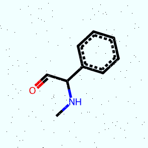 CNC(C=O)c1ccccc1